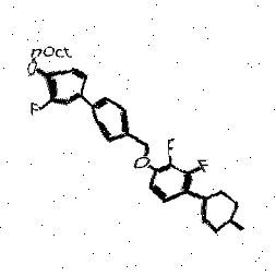 CCCCCCCCOc1ccc(-c2ccc(COc3ccc(C4CCC(C)CC4)c(F)c3F)cc2)cc1F